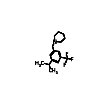 CC(C)c1cc(CN2CCCCC2)cc(C(F)(F)F)c1